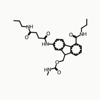 CCCNC(=O)CCC(=O)Nc1ccc2c(c1)C(COC(=O)NC)c1cccc(C(=O)NCCC)c1-2